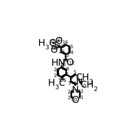 C=N/C(=C\C(=C/C)c1cc(NC(=O)c2cccc(S(C)(=O)=O)c2)ccc1C)N1CCOCC1